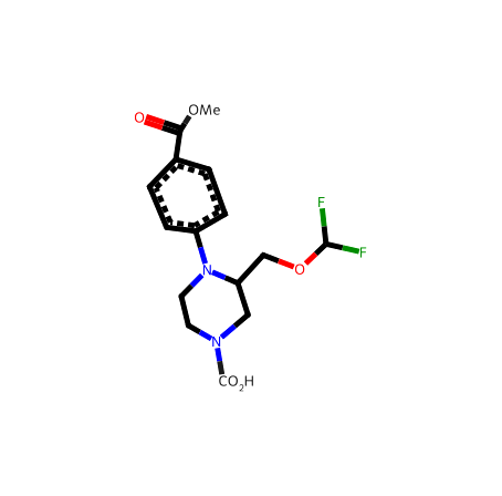 COC(=O)c1ccc(N2CCN(C(=O)O)CC2COC(F)F)cc1